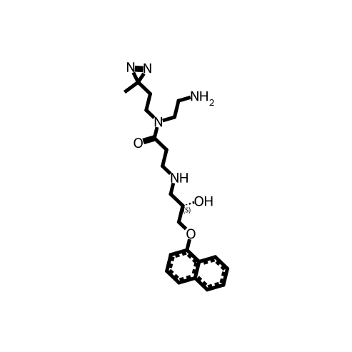 CC1(CCN(CCN)C(=O)CCNC[C@H](O)COc2cccc3ccccc23)N=N1